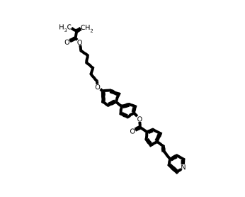 C=C(C)C(=O)OCCCCCCOc1ccc(-c2ccc(OC(=O)c3ccc(/C=C/c4ccncc4)cc3)cc2)cc1